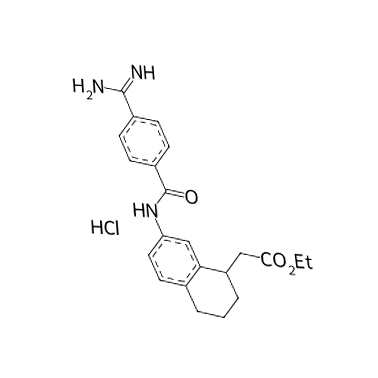 CCOC(=O)CC1CCCc2ccc(NC(=O)c3ccc(C(=N)N)cc3)cc21.Cl